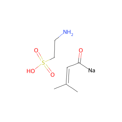 CC(C)=C[C](=O)[Na].NCCS(=O)(=O)O